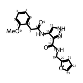 COc1ccccc1CC(=O)Nc1c[nH]nc1C(=O)NCc1ccco1